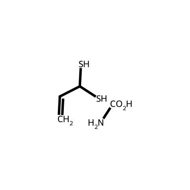 C=CC(S)S.NC(=O)O